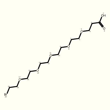 O=C(O)CCOCCOCCOCCOCCOCCBr